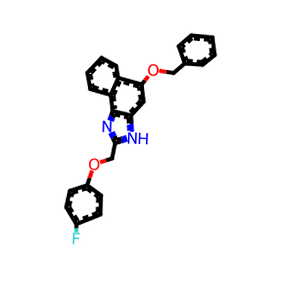 Fc1ccc(OCc2nc3c(cc(OCc4ccccc4)c4ccccc43)[nH]2)cc1